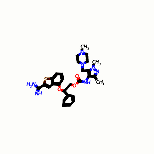 Cc1nn(C)c(CN2CCN(C)CC2)c1NC(=O)OCC(Oc1cccc2sc(C(=N)N)cc12)c1ccccc1